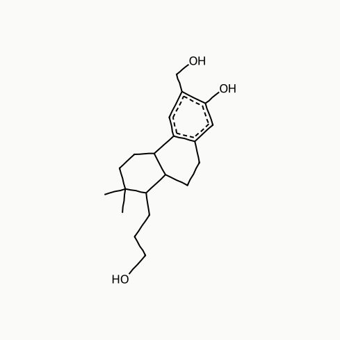 CC1(C)CCC2c3cc(CO)c(O)cc3CCC2C1CCCO